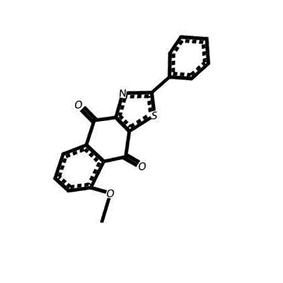 COc1cccc2c1C(=O)c1sc(-c3ccccc3)nc1C2=O